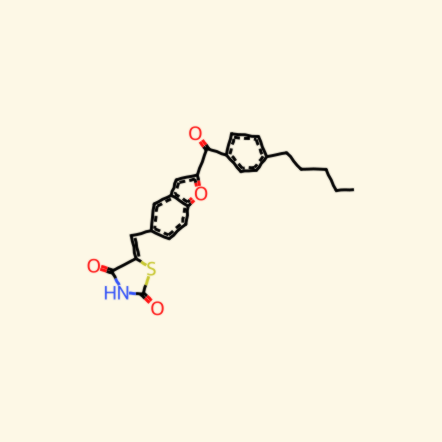 CCCCCc1ccc(C(=O)c2cc3cc(/C=C4\SC(=O)NC4=O)ccc3o2)cc1